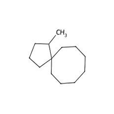 CC1CCCC12CCCCCCC2